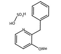 COc1cccnc1Cc1ccccc1.O=S(=O)(O)O